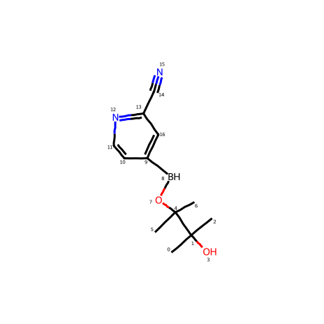 CC(C)(O)C(C)(C)OBc1ccnc(C#N)c1